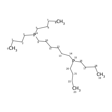 CCCCP(CCCC)CCCCCCP(CCCC)CCCC